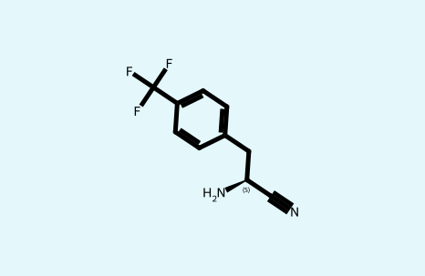 N#C[C@@H](N)Cc1ccc(C(F)(F)F)cc1